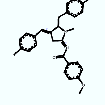 COc1ccc(C(=O)/N=C2\C/C(=C\c3ccc(C)cc3)C(Cc3ccc(C)cc3)N2C)cc1